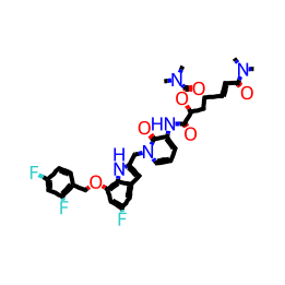 CN(C)C(=O)/C=C/CCC(OC(=O)N(C)C)C(=O)Nc1cccn(Cc2cc3cc(F)cc(OCc4ccc(F)cc4F)c3[nH]2)c1=O